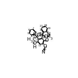 CC(C)(c1ccccc1)c1c(O)cc(OC#N)c(OC#N)c1C(C)(C)c1ccccc1